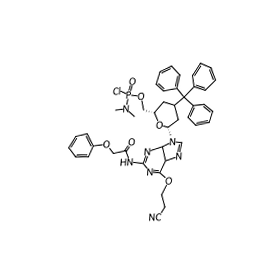 CN(C)P(=O)(Cl)OC[C@@H]1CC(C(c2ccccc2)(c2ccccc2)c2ccccc2)C[C@H](N2C=NC3C(OCCC#N)=NC(NC(=O)COc4ccccc4)=NC32)O1